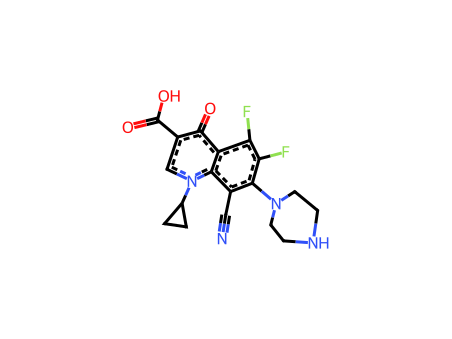 N#Cc1c(N2CCNCC2)c(F)c(F)c2c(=O)c(C(=O)O)cn(C3CC3)c12